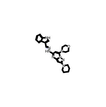 C(=N\Nc1cc(N2CCOCC2)n2nc(N3CCCCC3)cc2n1)/c1c[nH]c2ccccc12